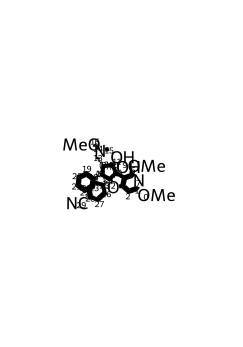 COc1cc2c(c(OC)n1)[C@]1(O)[C@H](O)[C@@H](CN(C)OC)[C@@H](c3ccccc3)[C@]1(C1C=CC(C#N)=CC1)O2